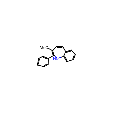 COC1=C(c2ccccc2)Nc2ccccc2C=C1